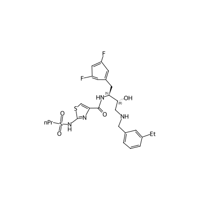 CCCS(=O)(=O)Nc1nc(C(=O)N[C@@H](Cc2cc(F)cc(F)c2)[C@H](O)CNCc2cccc(CC)c2)cs1